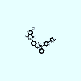 Cn1ccc(-c2ccc(-n3c(=O)n(CC4CCC(NC(=O)c5cc(Cl)cnc5C(F)F)CC4)c4ccccc43)cn2)n1